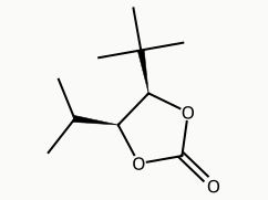 CC(C)[C@@H]1OC(=O)O[C@@H]1C(C)(C)C